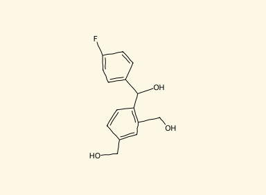 OCc1ccc(C(O)c2ccc(F)cc2)c(CO)c1